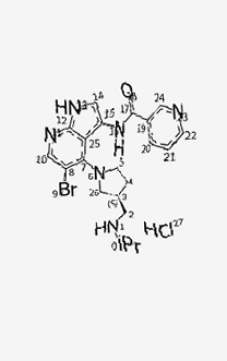 CC(C)NC[C@@H]1CCN(c2c(Br)cnc3[nH]cc(NC(=O)c4cccnc4)c23)C1.Cl